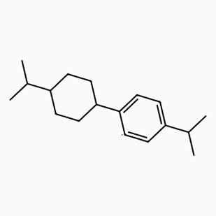 CC(C)c1c[c]c(C2CCC(C(C)C)CC2)cc1